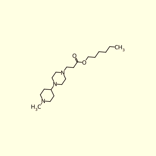 CCCCCCOC(=O)CCN1CCN(C2CCN(C)CC2)CC1